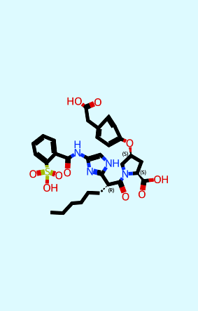 CCCCCC[C@@H](C(=O)N1C[C@@H](Oc2ccc(CC(=O)O)cc2)C[C@H]1C(=O)O)c1nc(NC(=O)c2ccccc2S(=O)(=O)O)c[nH]1